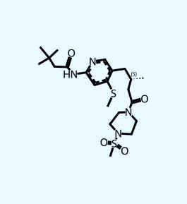 CSc1cc(NC(=O)CC(C)(C)C)ncc1C[C@H](C)CC(=O)N1CCN(S(C)(=O)=O)CC1